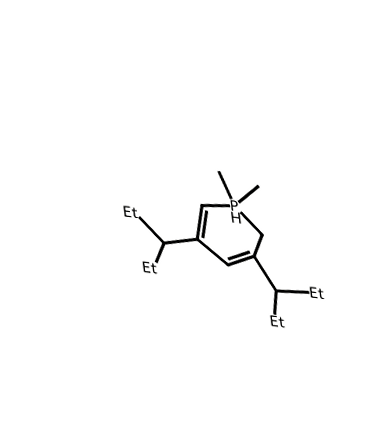 CCC(CC)C1=C[PH](C)(C)CC(C(CC)CC)=C1